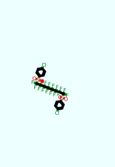 O=S(=O)(c1ccc(Cl)cc1)C(F)(F)C(F)(F)C(F)(F)C(F)(F)C(F)(F)C(F)(F)C(F)(F)C(F)(F)S(=O)(=O)c1ccc(Cl)cc1